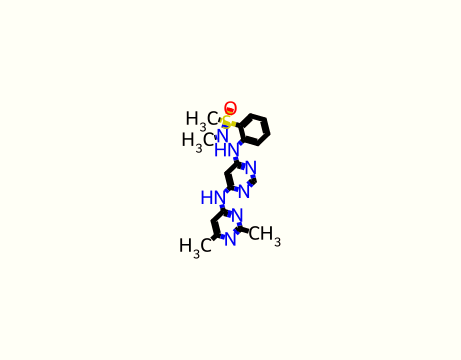 CN=S(C)(=O)c1ccccc1Nc1cc(Nc2cc(C)nc(C)n2)ncn1